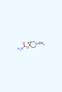 CN1CCC2(OC(N)=O)CC2C1